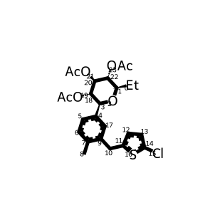 CC[C@H]1O[C@@H](c2ccc(C)c(Cc3ccc(Cl)s3)c2)[C@H](OC(C)=O)[C@@H](OC(C)=O)[C@@H]1OC(C)=O